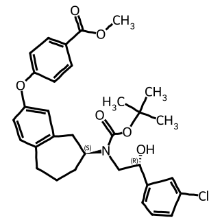 COC(=O)c1ccc(Oc2ccc3c(c2)C[C@@H](N(C[C@H](O)c2cccc(Cl)c2)C(=O)OC(C)(C)C)CCC3)cc1